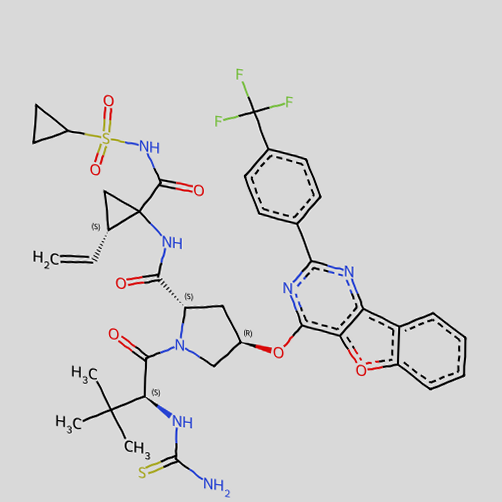 C=C[C@@H]1CC1(NC(=O)[C@@H]1C[C@@H](Oc2nc(-c3ccc(C(F)(F)F)cc3)nc3c2oc2ccccc23)CN1C(=O)[C@@H](NC(N)=S)C(C)(C)C)C(=O)NS(=O)(=O)C1CC1